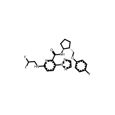 O=C(N[C@H]1CCC[C@@H]1COc1ccc(F)cc1)c1nc(NCC(F)F)ccc1-n1nccn1